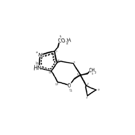 CC1(C2CC2)Cc2c(C(=O)O)n[nH]c2CO1